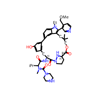 CCn1c(-c2cnccc2COC)c2c3cc(ccc31)-c1cc(O)cc(c1)C[C@H](NC(=O)C(C(C)C)N(C)C(=O)N1CCNCC1)C(=O)N1CCC[C@H](N1)C(=O)OCC(C)(C)C2